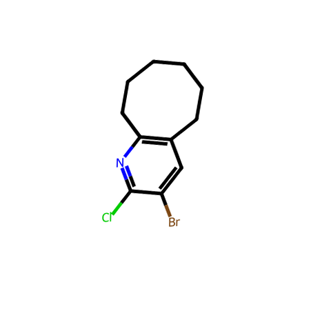 Clc1nc2c(cc1Br)CCCCCC2